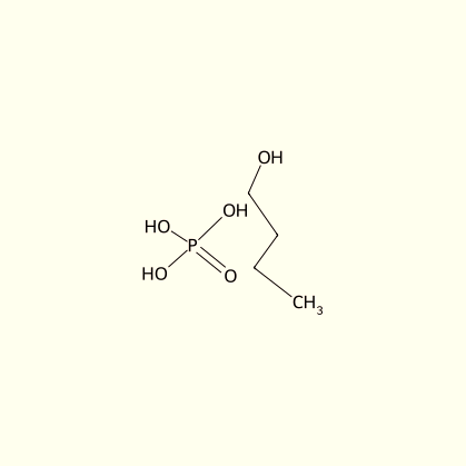 CCCCO.O=P(O)(O)O